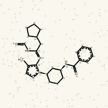 Cc1cnn([C@@H]2CCC[C@H](NC(=O)c3ccccc3)C2)c1/N=C(/CC1CCCC1)NC=O